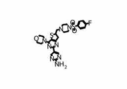 Nc1ncc(-c2nc3c(c(N4CCOCC4)n2)SC(CN2CCN(S(=O)(=O)c4ccc(F)cc4)CC2)C3)cn1